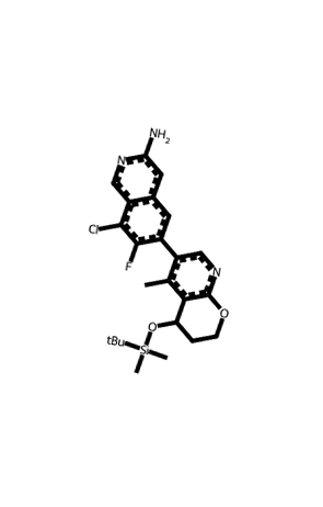 Cc1c(-c2cc3cc(N)ncc3c(Cl)c2F)cnc2c1C(O[Si](C)(C)C(C)(C)C)CCO2